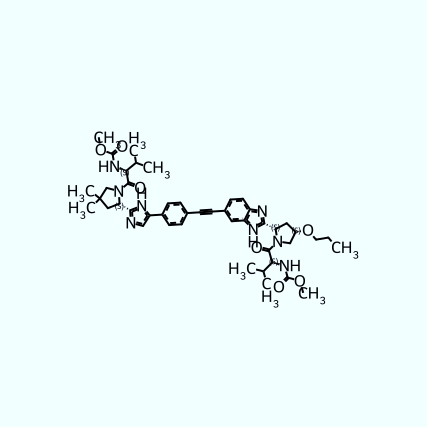 CCCO[C@H]1C[C@@H](c2nc3ccc(C#Cc4ccc(-c5cnc([C@@H]6CC(C)(C)CN6C(=O)[C@@H](NC(=O)OC)C(C)C)[nH]5)cc4)cc3[nH]2)N(C(=O)[C@@H](NC(=O)OC)C(C)C)C1